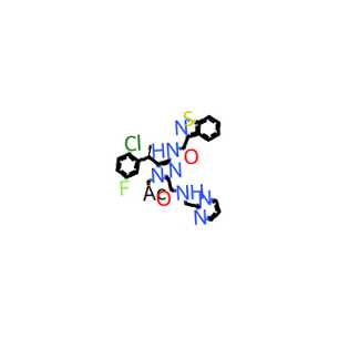 CC(=O)Cn1c(C(=O)NCc2ncccn2)nc(NC(=O)c2nsc3ccccc23)c1[C@H](C)c1cc(F)ccc1Cl